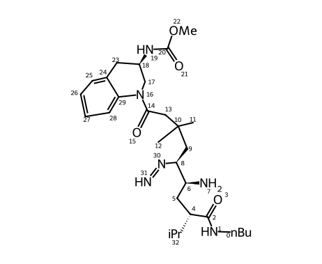 CCCCNC(=O)[C@@H](C[C@H](N)[C@H](CC(C)(C)CC(=O)N1C[C@H](NC(=O)OC)Cc2ccccc21)N=N)C(C)C